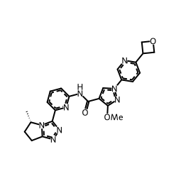 COc1nn(-c2ccc(C3COC3)nc2)cc1C(=O)Nc1cccc(-c2nnc3n2[C@@H](C)CC3)n1